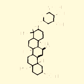 CC1(C)C2CC[C@@]3(C)C4CC[C@@]5(C)CC[C@H](C(=O)O)C[C@H]5C4=CC(=O)C3[C@@]2(C)CC[C@@H]1O[C@@H]1C[C@@H](O)[C@H](O)[C@@H](C(=O)O)O1